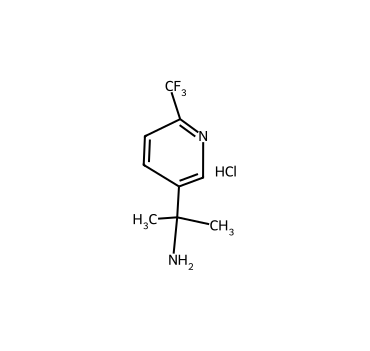 CC(C)(N)c1ccc(C(F)(F)F)nc1.Cl